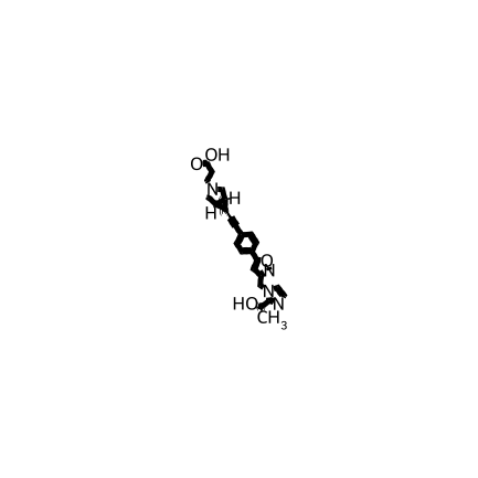 C[C@H](O)c1nccn1Cc1cc(-c2ccc(C#C[C@H]3[C@H]4CN(CCC(=O)O)C[C@@H]34)cc2)on1